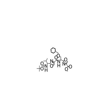 COC(=O)c1coc(C(COCc2ccccc2)NC(=O)c2coc(C(NC(=O)OC(C)(C)C)C(C)C)n2)n1